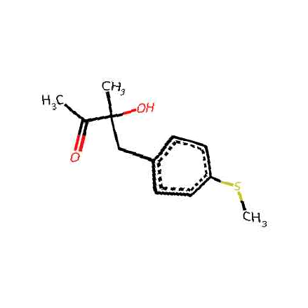 CSc1ccc(CC(C)(O)C(C)=O)cc1